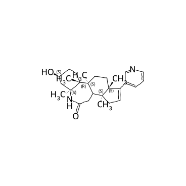 C[C@]12CC[C@H](O)C[C@]1(C)NC(=O)CC1[C@]2(C)CC[C@]2(C)C(c3cccnc3)=CC[C@@]12C